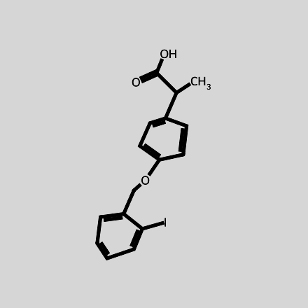 CC(C(=O)O)c1ccc(OCc2ccccc2I)cc1